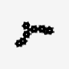 c1ccc(N(c2ccc(-c3ccc4ccccc4c3)cc2)c2ccc(-c3ccc4c(c3)oc3ccccc34)cc2)cc1